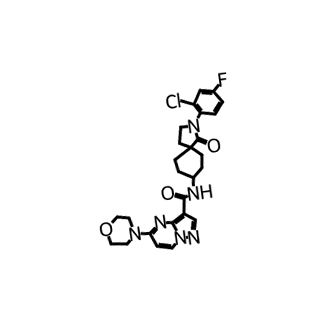 O=C(NC1CCC2(CC1)CCN(c1ccc(F)cc1Cl)C2=O)c1cnn2ccc(N3CCOCC3)nc12